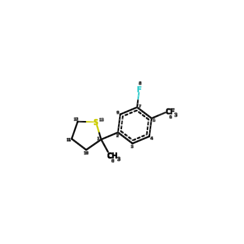 CC1(c2ccc(C(F)(F)F)c(F)c2)CCCS1